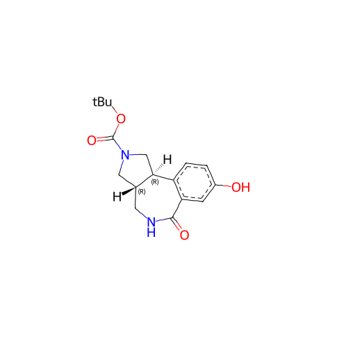 CC(C)(C)OC(=O)N1C[C@H]2CNC(=O)c3cc(O)ccc3[C@@H]2C1